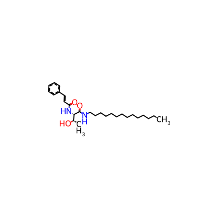 CCCCCCCCCCCCCCNC(=O)[C@@H](NC(=O)C=Cc1ccccc1)[C@@H](C)O